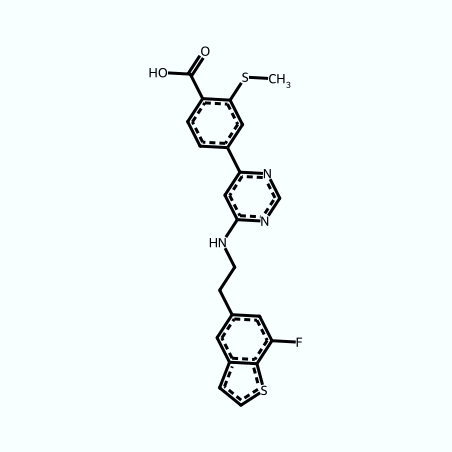 CSc1cc(-c2cc(NCCc3cc(F)c4sccc4c3)ncn2)ccc1C(=O)O